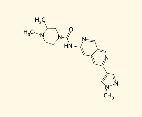 CC1CN(C(=O)Nc2cc3cc(-c4cnn(C)c4)ncc3cn2)CCN1C